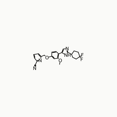 COc1cc(OCc2cccc(C#N)n2)ccc1-c1cnc(C2CCC(F)(F)CC2)[nH]1